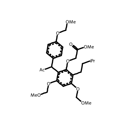 COCOc1ccc(C(C(C)=O)c2c(OCOC)cc(OCOC)c(CCC(C)C)c2OCC(=O)OC)cc1